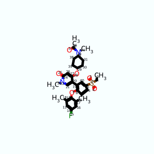 CCS(=O)(=O)c1ccc(Oc2c(C)cc(F)cc2C)c(-c2cn(C)c(=O)cc2O[C@H]2CC[C@H](N(C)C(C)=O)CC2)c1